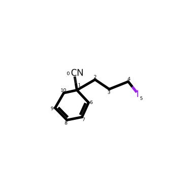 N#CC1(CCCI)C=CC=CC1